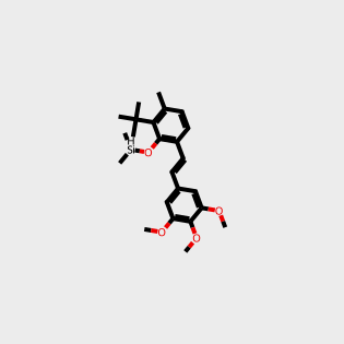 COc1cc(C=Cc2ccc(C)c(C(C)(C)C)c2O[SiH](C)C)cc(OC)c1OC